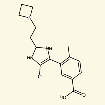 Cc1ccc(C(=O)O)cc1C1=C(Cl)NC(CCN2CCC2)N1